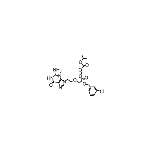 CC(C)OC(=O)OCOP(=O)(COCCn1cnc2c(=O)[nH]c(N)nc21)OCc1cccc(Cl)c1